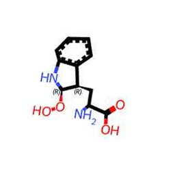 NC(C[C@@H]1c2ccccc2N[C@@H]1OO)C(=O)O